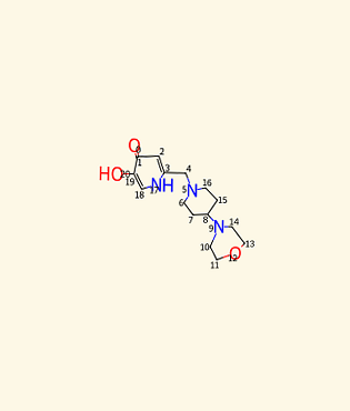 O=c1cc(CN2CCC(N3CCOCC3)CC2)[nH]cc1O